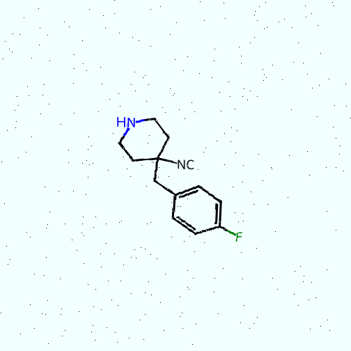 [C-]#[N+]C1(Cc2ccc(F)cc2)CCNCC1